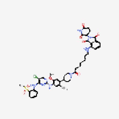 Cc1cc(Nc2ncc(Cl)c(Nc3ccccc3S(=O)(=O)C(C)C)n2)c(OC(C)C)cc1C1CCN(C(=O)CCCCCCNc2cccc3c2C(=O)N(C2CCC(=O)NC2=O)C3=O)CC1